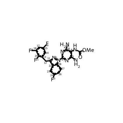 COC(=O)Nc1c(N)nc(-n2nc(Cc3cc(F)cc(F)c3F)c3cc(F)ccc32)nc1N